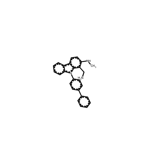 CNc1ccc2c3ccccc3n(-c3ccc(-c4ccccc4)cc3)c2c1CN